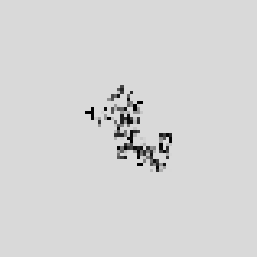 Cc1cccc(Cl)c1N1CCN(C(=O)c2cc3c(s2)SCCC3=O)CC1